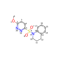 COc1ccc(S(=O)(=O)N2CCCc3ccccc32)nn1